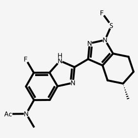 CC(=O)N(C)c1cc(F)c2[nH]c(-c3nn(SF)c4c3C[C@@H](C)CC4)nc2c1